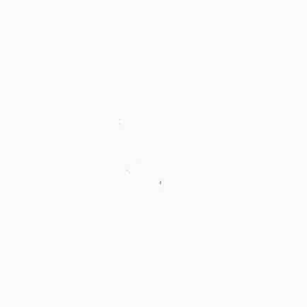 [NH]Cc1ccc(Cl)c(N)c1N